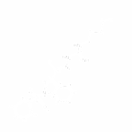 CCCCCNC(=N)NN=C(C)c1cn(S(=O)(=O)c2ccccc2)c2ccccc12